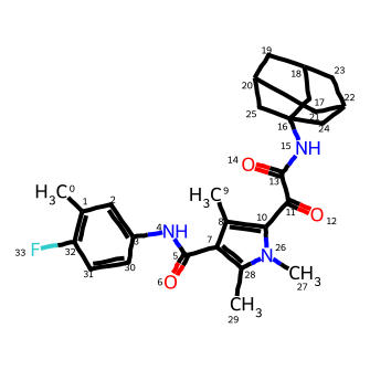 Cc1cc(NC(=O)c2c(C)c(C(=O)C(=O)NC34CC5CC(CC(C5)C3)C4)n(C)c2C)ccc1F